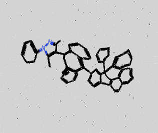 Cc1nn(-c2ccccc2)c(C)c1-c1c2ccccc2c(-c2ccc3c(c2)C(c2ccccc2)(c2ccccc2)c2c-3ccc3ccccc23)c2ccccc12